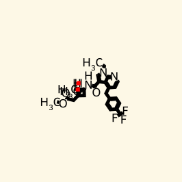 CCn1cc(C(=O)NC23CC(CC(=O)OC)([C@@H]2C)[C@@H]3C)c2c(Cc3ccc(C(F)(F)F)cc3)ccnc21